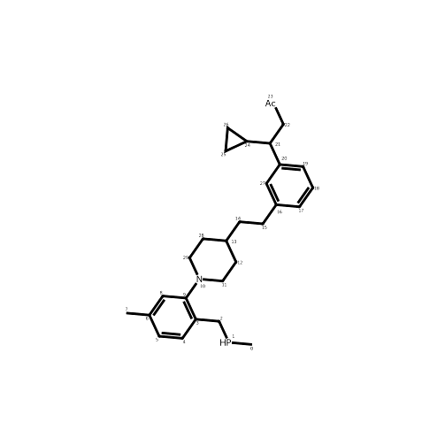 CPCc1ccc(C)cc1N1CCC(CCc2cccc(C(CC(C)=O)C3CC3)c2)CC1